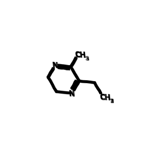 CCC1=NCCN=C1C